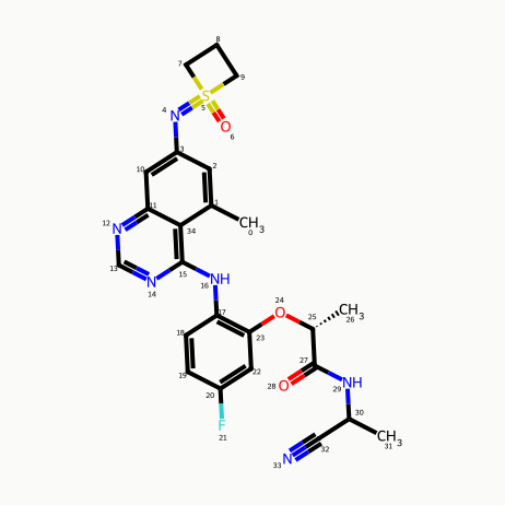 Cc1cc(N=S2(=O)CCC2)cc2ncnc(Nc3ccc(F)cc3O[C@H](C)C(=O)NC(C)C#N)c12